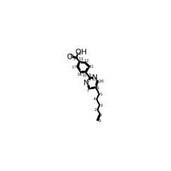 C=CCCCCc1cnc(-c2ccc(C(=O)O)cc2)nc1